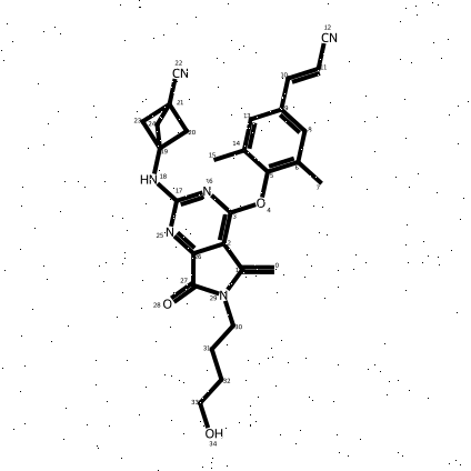 C=C1c2c(Oc3c(C)cc(/C=C/C#N)cc3C)nc(NC34CC(C#N)(C3)C4)nc2C(=O)N1CCCCO